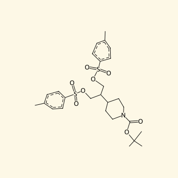 Cc1ccc(S(=O)(=O)OCC(COS(=O)(=O)c2ccc(C)cc2)C2CCN(C(=O)OC(C)(C)C)CC2)cc1